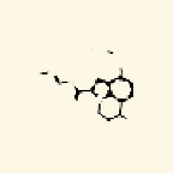 COC1CCn2c(C(=O)NC=NN)cc3c(C)ccc1c32.CS(=O)(=O)O